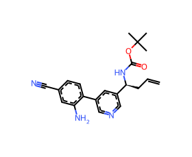 C=CC[C@H](NC(=O)OC(C)(C)C)c1cncc(-c2ccc(C#N)cc2N)c1